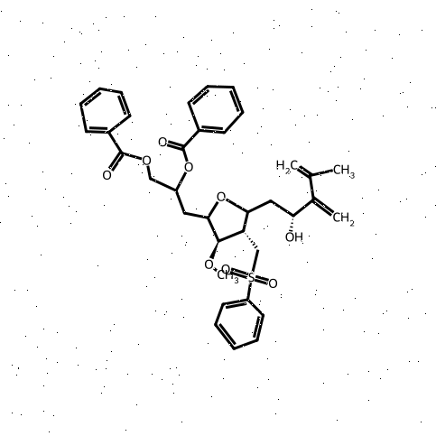 C=C(C)C(=C)[C@H](O)CC1OC(CC(COC(=O)c2ccccc2)OC(=O)c2ccccc2)[C@H](OC)[C@H]1CS(=O)(=O)c1ccccc1